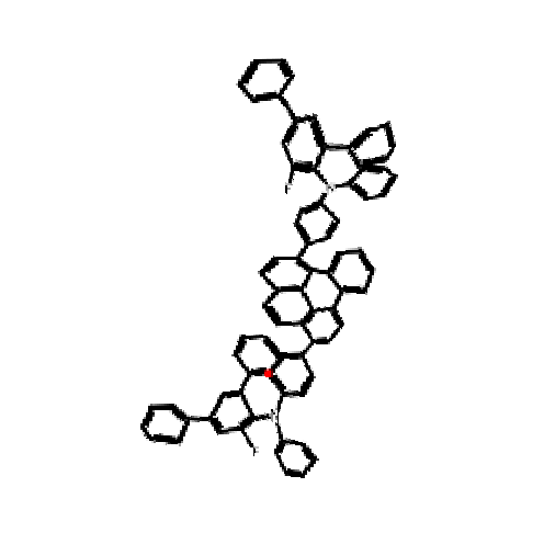 Fc1cc(-c2ccccc2)cc(-c2ccccc2)c1N(c1ccccc1)c1ccc(-c2ccc3c4ccccc4c4c(-c5ccc(N(c6ccccc6)c6c(F)cc(-c7ccccc7)cc6-c6ccccc6)cc5)ccc5ccc2c3c54)cc1